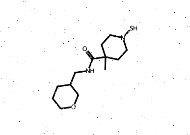 CC1(C(=O)NCC2CCCOC2)CCN(S)CC1